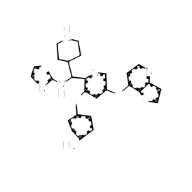 Cl.Cl.c1ccc(Oc2cc(Sc3ccnc4ccsc34)cnc2C(Nc2nccs2)C2CCNCC2)cc1